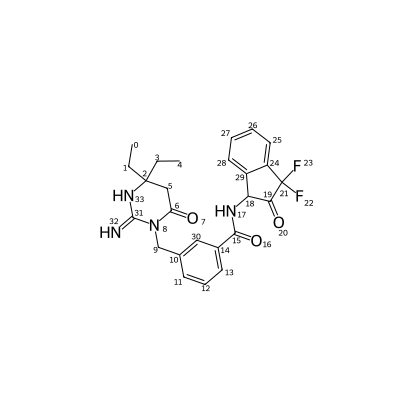 CCC1(CC)CC(=O)N(Cc2cccc(C(=O)NC3C(=O)C(F)(F)c4ccccc43)c2)C(=N)N1